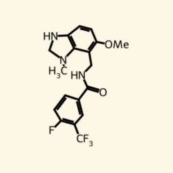 COc1ccc2c(c1CNC(=O)c1ccc(F)c(C(F)(F)F)c1)N(C)CN2